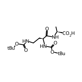 C[C@H](NC(=O)[C@H](CCNC(=O)OC(C)(C)C)NC(=O)OC(C)(C)C)C(=O)O